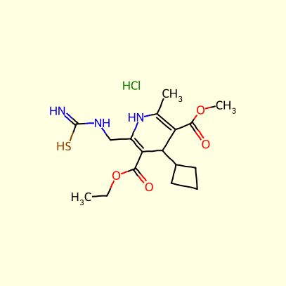 CCOC(=O)C1=C(CNC(=N)S)NC(C)=C(C(=O)OC)C1C1CCC1.Cl